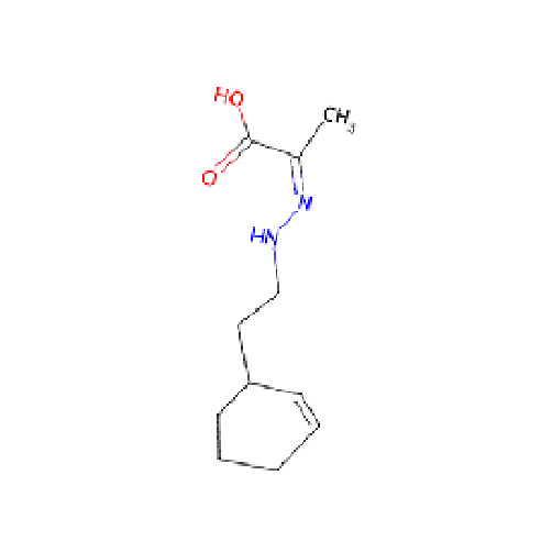 C/C(=N/NCCC1C=CCCC1)C(=O)O